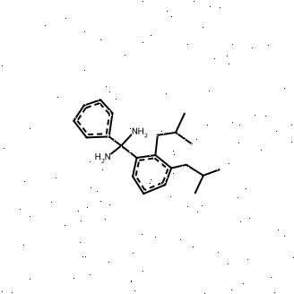 CC(C)Cc1cccc(C(N)(N)c2ccccc2)c1CC(C)C